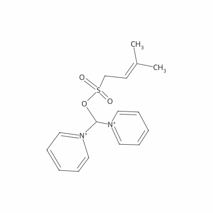 CC(C)=CCS(=O)(=O)OC([n+]1ccccc1)[n+]1ccccc1